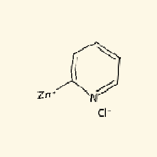 [Cl-].[Zn+][c]1ccccn1